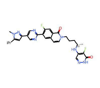 CC(C)c1cc(-c2cnc(-c3cc4ccn(CCC[C@H](C)Nc5cn[nH]c(=O)c5F)c(=O)c4cc3F)nc2)nn1C